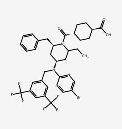 CCC1C[C@@H](N(Cc2cc(C(F)(F)F)cc(C(F)(F)F)c2)c2ncc(Br)cn2)C[C@@H](Cc2ccccc2)N1C(=O)[C@H]1CC[C@H](C(=O)O)CC1